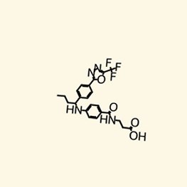 CCCC(Nc1ccc(C(=O)NCCC(=O)O)cc1)c1ccc(-c2nnc(C(F)(F)F)o2)cc1